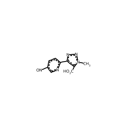 Cn1nnc(-c2ccc(N=O)cn2)c1C(=O)O